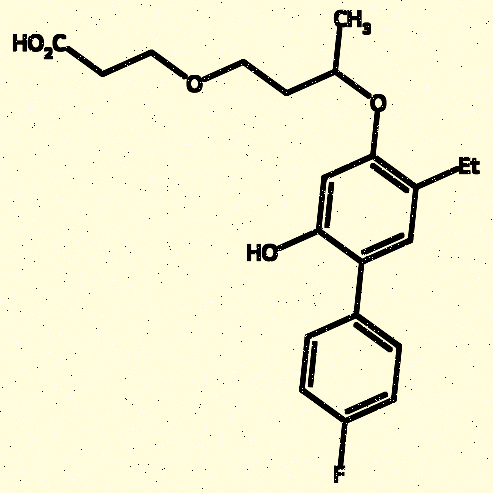 CCc1cc(-c2ccc(F)cc2)c(O)cc1OC(C)CCOCCC(=O)O